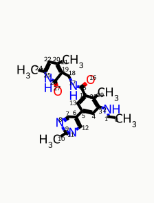 CCNc1cc(-c2cnc(C)nc2)cc(C(=O)NCc2c(C)cc(C)[nH]c2=O)c1C